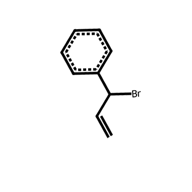 C=CC(Br)c1ccccc1